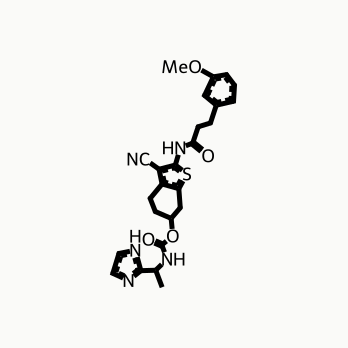 COc1cccc(CCC(=O)Nc2sc3c(c2C#N)CCC(OC(=O)NC(C)c2ncc[nH]2)C3)c1